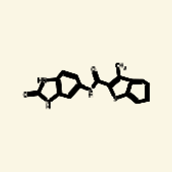 Cc1c(C(=O)Nc2ccc3[nH]c(=O)[nH]c3c2)sc2ccccc12